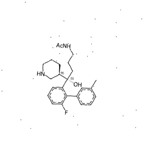 CC(=O)NCCC[C@@](O)(c1cccc(F)c1-c1cccc(C)c1)[C@@H]1CCCNC1